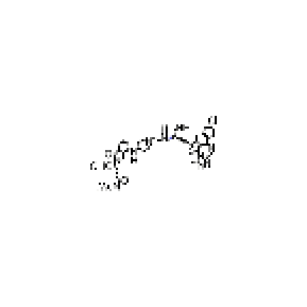 CNC(=O)CCC(C=O)N1Cc2c(NC3CCN(CCN/C=C(/C#Cc4sc5c(c4C)C(c4ccc(Cl)cc4)=NCc4nnc(C)n4-5)C=N)CC3)cccc2C1=O